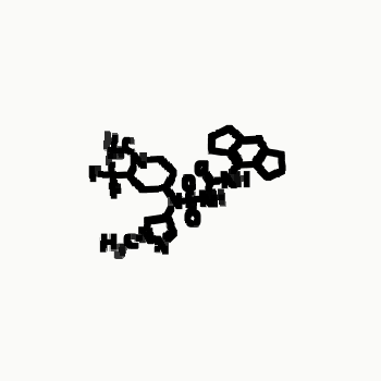 CN1CCC(N(c2cnn(C)c2)S(=O)(=O)NC(=O)Nc2c3c(cc4c2CCC4)CCC3)CC1C(F)(F)F